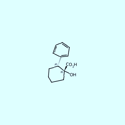 O=C(O)[C@@]1(O)CCCC[C@@H]1c1ccccc1